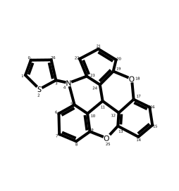 c1csc(N2c3cccc4c3C3c5c(cccc5Oc5cccc2c53)O4)c1